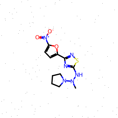 CN(Nc1nc(-c2ccc([N+](=O)[O-])o2)ns1)N1CCCC1